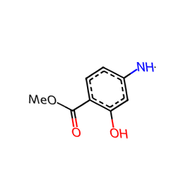 COC(=O)c1ccc([NH])cc1O